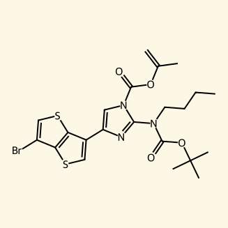 C=C(C)OC(=O)n1cc(-c2csc3c(Br)csc23)nc1N(CCCC)C(=O)OC(C)(C)C